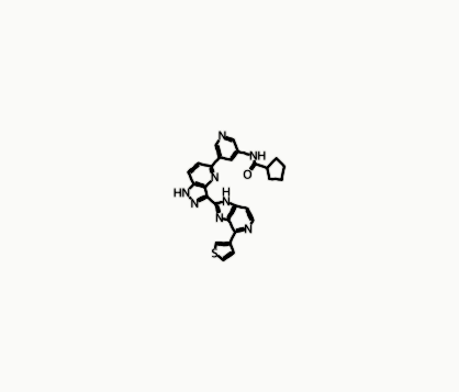 O=C(Nc1cncc(-c2ccc3[nH]nc(-c4nc5c(-c6ccsc6)nccc5[nH]4)c3n2)c1)C1CCCC1